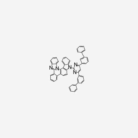 c1ccc(-c2cccc(-c3cc(-c4cccc(-c5ccccc5)c4)nc(-n4c5ccccc5c5c4ccc4c6ccccc6c6nc7ccccc7n6c45)n3)c2)cc1